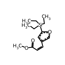 CC[Si](CC)(CC)c1cc(/C=C\C(=O)OC)co1